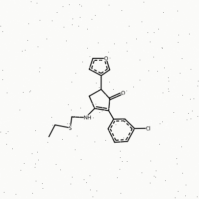 CCSCNC1=C(c2cccc(Cl)c2)C(=O)C(c2ccoc2)C1